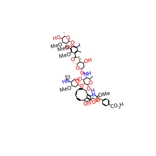 CCN[C@H]1CO[C@@H](O[C@H]2[C@H](O[C@H]3C#CC=CC#C[C@]4(O)CC(=O)C(NC(=O)OC)=C3/C4=C\CSSc3ccc(C(=O)O)cc3)O[C@H](C)[C@@H](NO[C@H]3C[C@H](O)[C@H](SC(=O)c4c(C)c(I)c(O[C@@H]5O[C@@H](C)[C@H](O)[C@@H](OC)[C@H]5O)c(OC)c4OC)[C@@H](C)O3)[C@@H]2O)C[C@@H]1OC